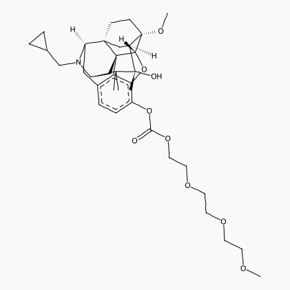 COCCOCCOCCOC(=O)Oc1ccc2c3c1O[C@H]1[C@]4(OC)CC[C@@]5(C[C@@H]4[C@](C)(O)C(C)(C)C)[C@@H](C2)N(CC2CC2)CC[C@]315